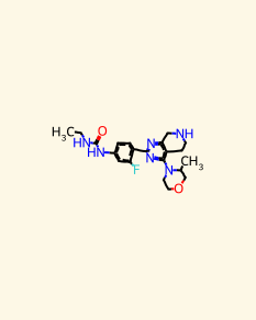 CCNC(=O)Nc1ccc(-c2nc3c(c(N4CCOCC4C)n2)CCNC3)c(F)c1